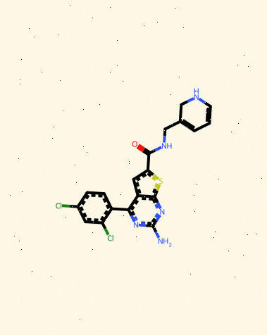 Nc1nc(-c2ccc(Cl)cc2Cl)c2cc(C(=O)NCC3=CC=CNC3)sc2n1